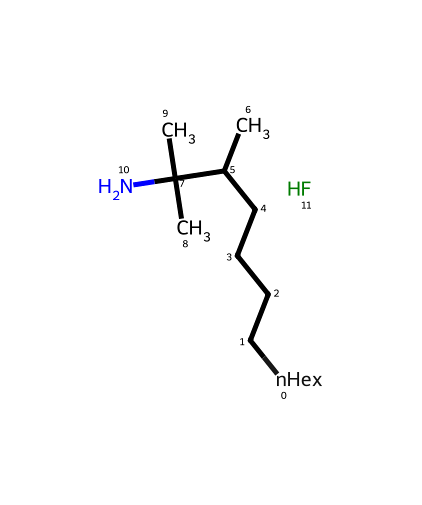 CCCCCCCCCCC(C)C(C)(C)N.F